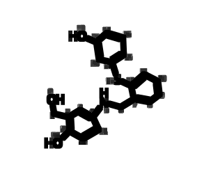 OCc1cc(NCc2ccccc2Sc2cccc(O)c2)ccc1O